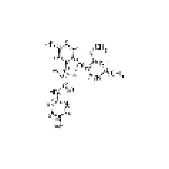 CCc1nc(C)ncc1OC[C@@]1(c2cccc(F)c2)CC1C(=O)Nc1ccc(F)cn1